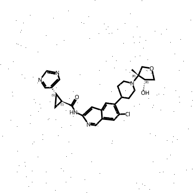 C[C@@]1(N2CCC(c3cc4cc(NC(=O)[C@H]5C[C@@H]5c5cncnc5)ncc4cc3Cl)CC2)COC[C@@H]1O